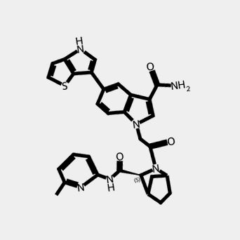 Cc1cccc(NC(=O)[C@@H]2C3CCC(C3)N2C(=O)Cn2cc(C(N)=O)c3cc(-c4c[nH]c5ccsc45)ccc32)n1